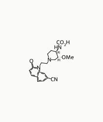 CO[C@@H]1CN(CCn2c(=O)ccc3ccc(C#N)cc32)CC[C@H]1NC(=O)O